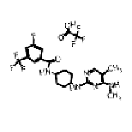 CNc1nc(N[C@H]2CC[C@@H](NC(=O)c3cc(F)cc(C(F)(F)F)c3)CC2)ncc1C.O=C(O)C(F)(F)F